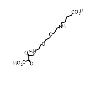 O=C(O)CCCCNCCOCCOCCNCC(=O)C(=O)C(=O)O